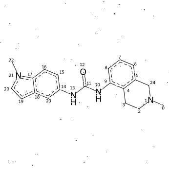 CN1CCc2c(cccc2NC(=O)Nc2ccc3c(ccn3C)c2)C1